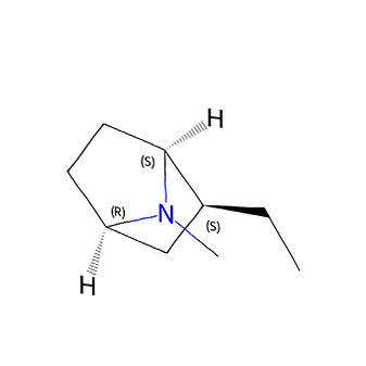 CC[C@H]1C[C@H]2CC[C@@H]1N2C